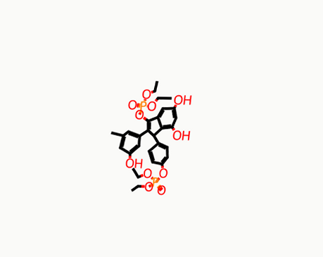 CCOP(=O)(OCC)OC1=C(c2cc(C)cc(O)c2)C(c2ccc(OP(=O)(OCC)OCC)cc2)c2c(O)cc(O)cc21